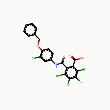 O=C(O)c1c(Br)c(Br)c(Br)c(Br)c1C(=S)Nc1ccc(OCc2ccccc2)c(Cl)c1